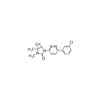 CN1C(=O)N(c2ccc(-c3cccc(Cl)c3)nn2)CC1(C)C